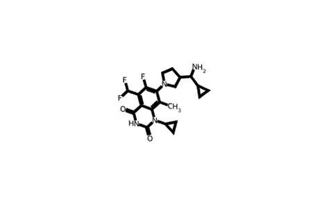 Cc1c(N2CCC(C(N)C3CC3)C2)c(F)c(C(F)F)c2c(=O)[nH]c(=O)n(C3CC3)c12